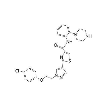 O=C(Nc1ccccc1N1CCNCC1)c1csc(-c2cnn(CCOc3ccc(Cl)cc3)c2)n1